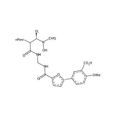 CCCCCC(C(=O)NCNC(=O)c1ccc(-c2ccc(OC)c(C(=O)O)c2)o1)[C@@H](CC)N(O)C=O